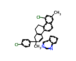 Cc1cc(Cl)c2c3c(ccc2c1)C1=C(CC3)CC(C)(c2ccc(Cl)cc2)C=C1.c1ccc2ncncc2c1